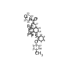 C[C@H]1CC[C@H](Oc2ccccc2Sc2ccc(/C=C/C(=O)N3CCOCC3)c(C(F)(F)F)c2C(F)(F)F)CC1